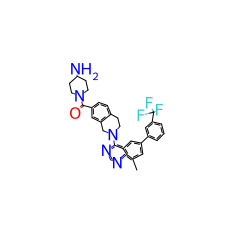 Cc1cc(-c2cccc(C(F)(F)F)c2)cc2c(N3CCc4ccc(C(=O)N5CCC(N)CC5)cc4C3)ncnc12